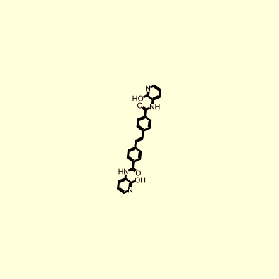 O=C(Nc1cccnc1O)c1ccc(C=Cc2ccc(C(=O)Nc3cccnc3O)cc2)cc1